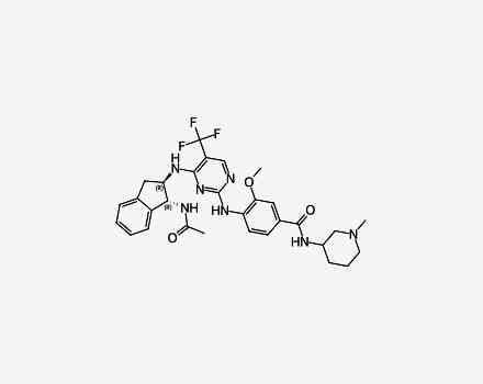 COc1cc(C(=O)NC2CCCN(C)C2)ccc1Nc1ncc(C(F)(F)F)c(N[C@@H]2Cc3ccccc3[C@H]2NC(C)=O)n1